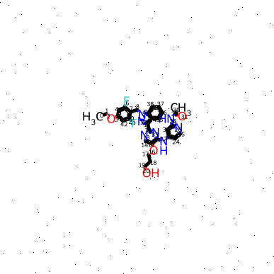 CCOc1cc(F)c(Cn2nc(-c3ncc(OCCCO)c(Nc4ccnc(NC(C)=O)c4)n3)c3ccccc32)c(F)c1